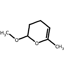 COC1CCC=C(C)O1